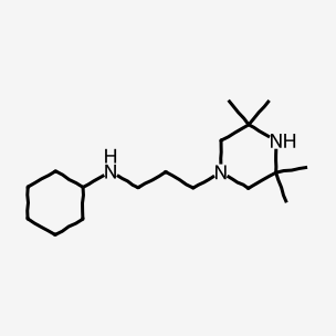 CC1(C)CN(CCCNC2CCCCC2)CC(C)(C)N1